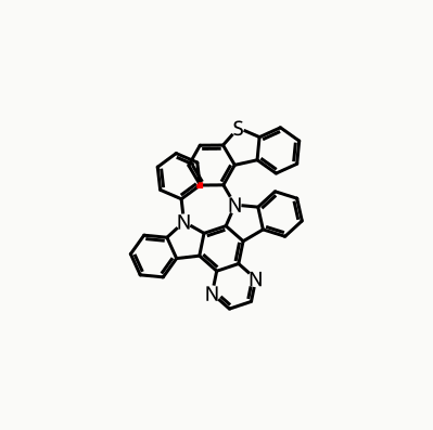 c1ccc(-n2c3ccccc3c3c4nccnc4c4c5ccccc5n(-c5cccc6sc7ccccc7c56)c4c32)cc1